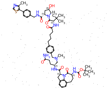 Cc1ncsc1-c1ccc(CNC(=O)[C@@H]2C[C@@H](O)CN2C(=O)[C@@H](NC(=O)CCCCc2ccc(CN(C)C[C@H](CCC(N)=O)NC(=O)[C@@H]3Cc4cccc5c4N3C(=O)[C@@H](NC(=O)OC(C)(C)C)CC5)cc2)C(C)(C)C)cc1